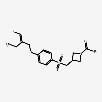 CC(C)C(=O)N1CC(CS(=O)(=O)c2ccc(OC/C(=C/F)CN)cc2)C1